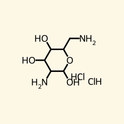 Cl.Cl.NCC1OC(O)C(N)C(O)C1O